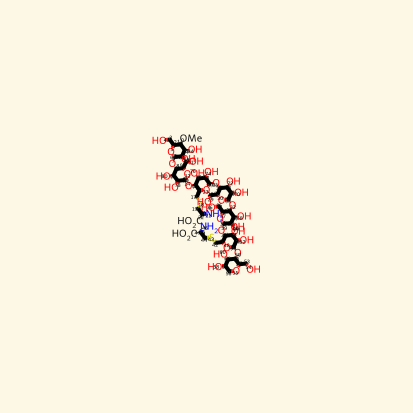 CO[C@@H]1C(CO)O[C@H](O[C@@H]2C(CO)O[C@H](O[C@@H]3C(CSC[C@@H](N)C(=O)O)O[C@H](O[C@@H]4C(CO)O[C@@H](O[C@@H]5C(CO)O[C@@H](O[C@@H]6C(CSC[C@@H](N)C(=O)O)O[C@@H](O[C@@H]7C(CO)OCC(O)[C@H]7O)C(O)[C@H]6O)C(O)[C@@H]5O)C(O)[C@H]4O)C(O)[C@H]3O)C(O)[C@H]2O)C(O)[C@H]1O